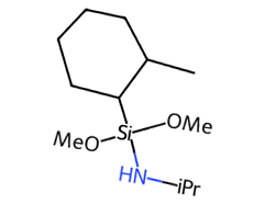 CO[Si](NC(C)C)(OC)C1CCCCC1C